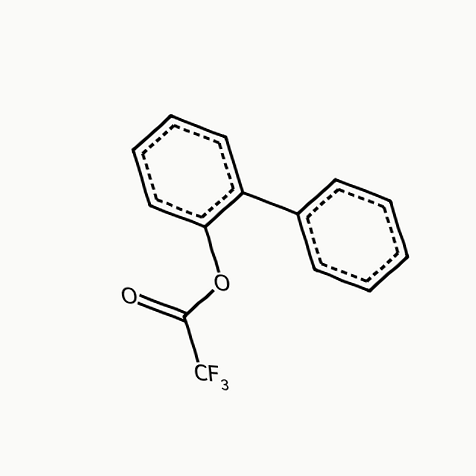 O=C(Oc1ccccc1-c1ccccc1)C(F)(F)F